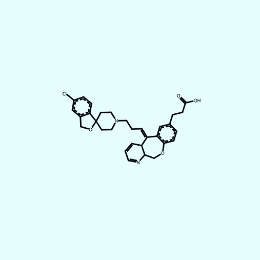 O=C(O)CCc1ccc2c(c1)/C(=C/CCN1CCC3(CC1)OCc1cc(Cl)ccc13)C1C=CC=NC1CO2